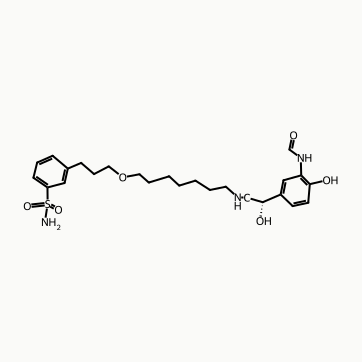 NS(=O)(=O)c1cccc(CCCOCCCCCCCNC[C@@H](O)c2ccc(O)c(NC=O)c2)c1